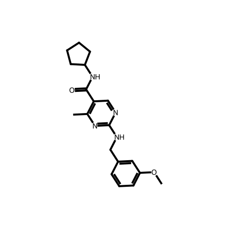 COc1cccc(CNc2ncc(C(=O)NC3CCCC3)c(C)n2)c1